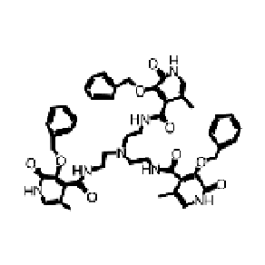 Cc1c[nH]c(=O)c(OCc2ccccc2)c1C(=O)NCCN(CCNC(=O)c1c(C)c[nH]c(=O)c1OCc1ccccc1)CCNC(=O)c1c(C)c[nH]c(=O)c1OCc1ccccc1